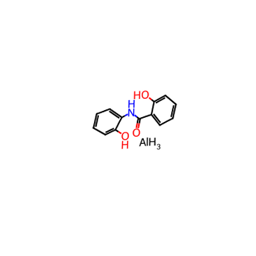 O=C(Nc1ccccc1O)c1ccccc1O.[AlH3]